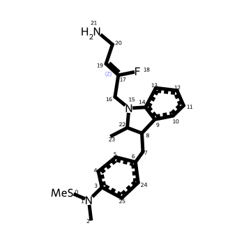 CSN(C)c1ccc(CC2c3ccccc3N(C/C(F)=C/CN)C2C)cc1